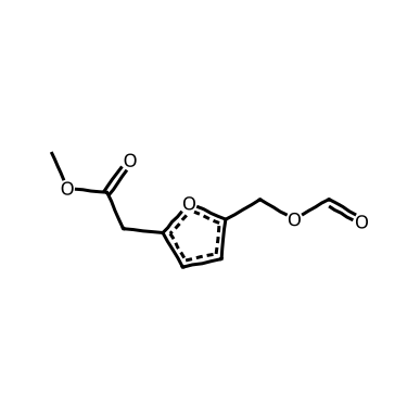 COC(=O)Cc1ccc(COC=O)o1